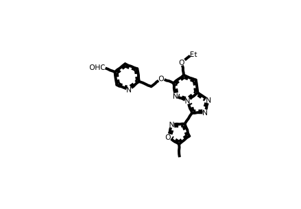 CCOc1cc2nnc(-c3cc(C)on3)n2nc1OCc1ccc(C=O)cn1